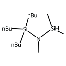 CCCC[Si](CCCC)(CCCC)N(C)[SiH](C)C